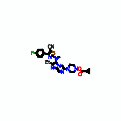 CCc1nc2cnc(N3CCN(OC(=O)C4CC4)CC3)cn2c1N(C)c1nc(-c2ccc(F)cc2)c(C#N)s1